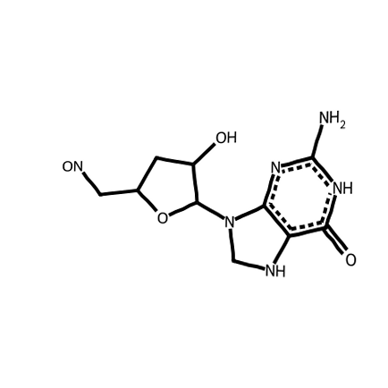 Nc1nc2c(c(=O)[nH]1)NCN2C1OC(CN=O)CC1O